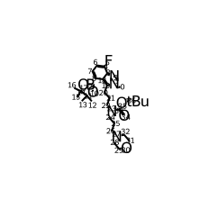 Cn1nc2c(F)ccc(B3OC(C)(C)C(C)(C)O3)c2c1CCCN(CCCN1CCOCC1)C(=O)OC(C)(C)C